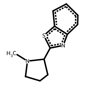 CN1CCCC1c1nc2ccccc2s1